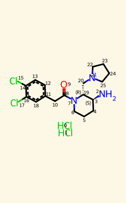 Cl.Cl.N[C@H]1CCCN(C(=O)Cc2ccc(Cl)c(Cl)c2)[C@@H]1CN1CCCC1